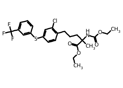 CCOC(=O)NC(C)(CCCc1ccc(Sc2cccc(C(F)(F)F)c2)cc1Cl)C(=O)OCC